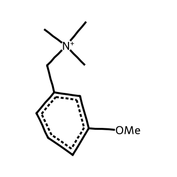 COc1cccc(C[N+](C)(C)C)c1